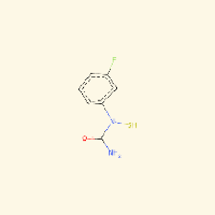 NC(=O)N(S)c1cccc(F)c1